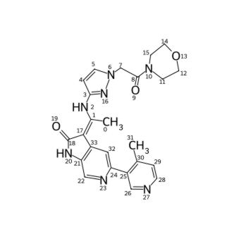 C/C(Nc1ccn(CC(=O)N2CCOCC2)n1)=C1/C(=O)Nc2cnc(-c3cnccc3C)cc21